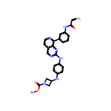 C=CC(=O)Nc1cccc(-c2nccc3cnc(Nc4ccc(NC5CN(C(=O)OC(C)(C)C)C5)cc4)nc23)c1